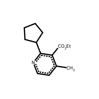 CCOC(=O)c1c(C)ccnc1C1CCCC1